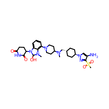 CN(C[C@H]1CC[C@H](n2cc(N)c(S(C)(=O)=O)n2)CC1)C1CCN(c2cccc3c2N(C)C(O)N3C2CCC(=O)NC2=O)CC1